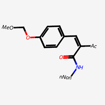 CCCCCCCCCNC(=O)C(=Cc1ccc(OCOC)cc1)C(C)=O